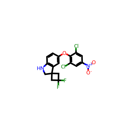 O=[N+]([O-])c1cc(Cl)c(Oc2ccc3c(c2)C2(CN3)CC(F)(F)C2)c(Cl)c1